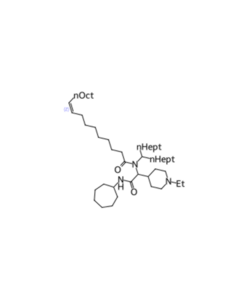 CCCCCCCC/C=C\CCCCCCCC(=O)N(C(CCCCCCC)CCCCCCC)C(C(=O)NC1CCCCCC1)C1CCN(CC)CC1